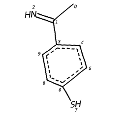 CC(=N)c1ccc(S)cc1